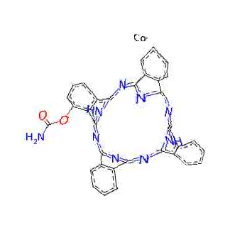 NC(=O)Oc1cccc2c3nc4nc(nc5[nH]c(nc6nc(nc([nH]3)c12)-c1ccccc1-6)c1ccccc51)-c1ccccc1-4.[Co]